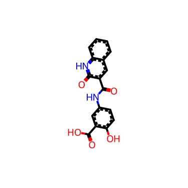 O=C(O)c1cc(NC(=O)c2cc3ccccc3[nH]c2=O)ccc1O